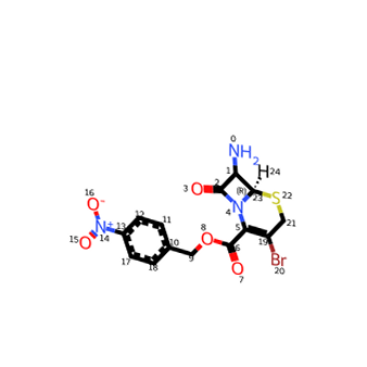 NC1C(=O)N2C(C(=O)OCc3ccc([N+](=O)[O-])cc3)=C(Br)CS[C@H]12